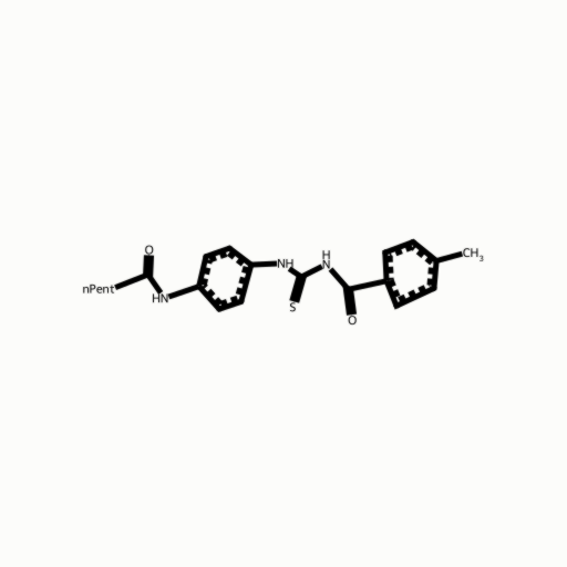 CCCCCC(=O)Nc1ccc(NC(=S)NC(=O)c2ccc(C)cc2)cc1